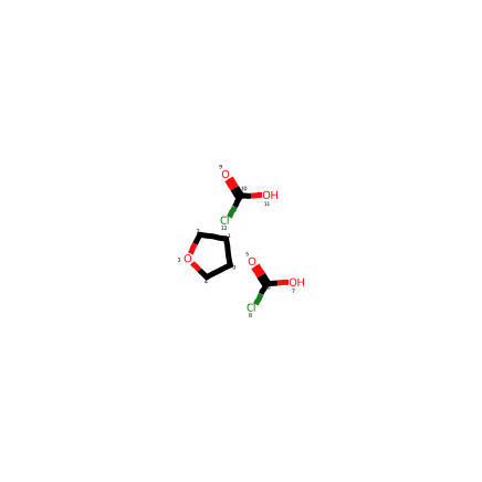 C1CCOC1.O=C(O)Cl.O=C(O)Cl